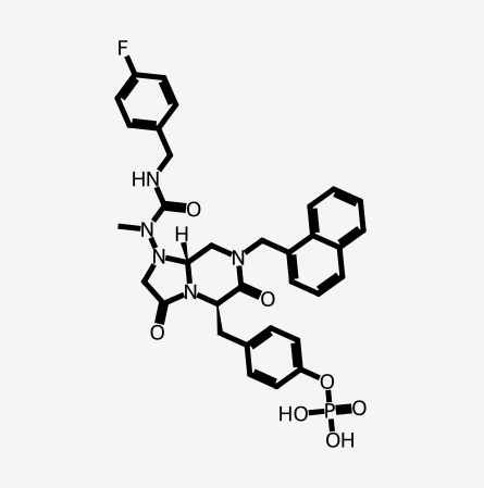 CN(C(=O)NCc1ccc(F)cc1)N1CC(=O)N2[C@H](Cc3ccc(OP(=O)(O)O)cc3)C(=O)N(Cc3cccc4ccccc34)C[C@H]21